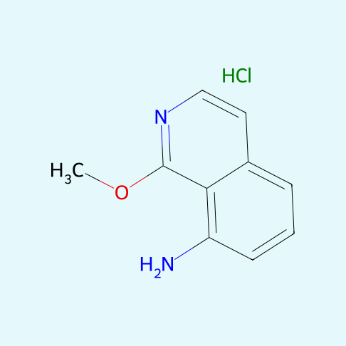 COc1nccc2cccc(N)c12.Cl